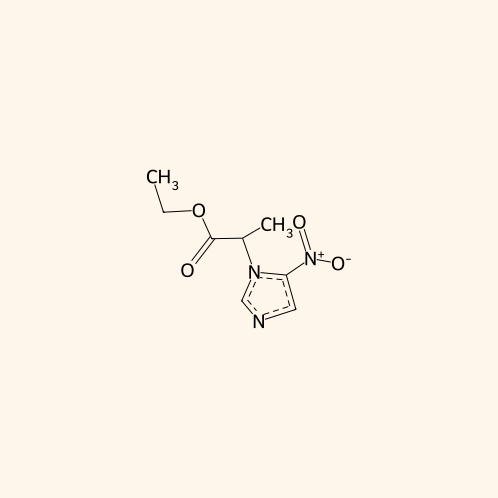 CCOC(=O)C(C)n1cncc1[N+](=O)[O-]